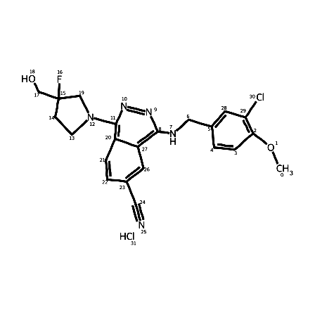 COc1ccc(CNc2nnc(N3CCC(F)(CO)C3)c3ccc(C#N)cc23)cc1Cl.Cl